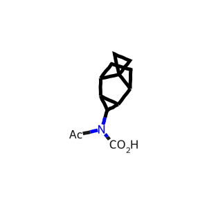 CC(=O)N(C(=O)O)C1C2C1C1CCC2C12CC2